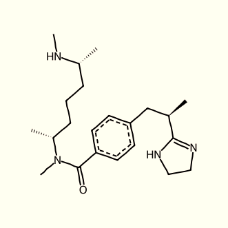 CN[C@H](C)CCC[C@@H](C)N(C)C(=O)c1ccc(C[C@@H](C)C2=NCCN2)cc1